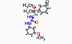 COc1cccc(NC(=O)NCC(C)(OC)c2cccc(Cl)c2)c1